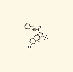 CC(C)(C)c1cc(C(=O)NCc2ccccc2)n(Cc2ccc(Cl)cc2Cl)n1